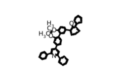 CC1(C)Oc2cc(-c3cc(-c4ccccc4)nc(-c4ccccc4)c3)ccc2-c2cc(-c3cccc4c3oc3ccccc34)ccc2O1